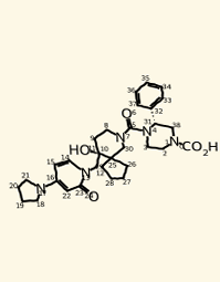 O=C(O)N1CCN(C(=O)N2CC[C@@](O)(Cn3ccc(N4CCCC4)cc3=O)C3(CCCC3)C2)[C@H](c2ccccc2)C1